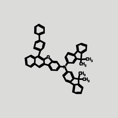 CC1(C)c2ccccc2-c2ccc(N(c3ccc4c(c3)C(C)(C)c3ccccc3-4)c3ccc4c(c3)oc3c(-c5ccc(-c6ccccc6)cc5)c5ccccc5cc34)cc21